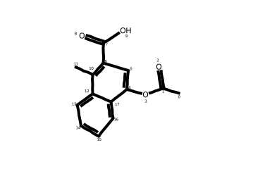 CC(=O)Oc1cc(C(=O)O)c(C)c2ccccc12